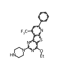 CCOc1nc(N2CCNCC2)nc2c1sc1nc(-c3ccccc3)cc(C(F)(F)F)c12